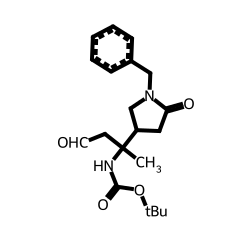 CC(C)(C)OC(=O)NC(C)(CC=O)C1CC(=O)N(Cc2ccccc2)C1